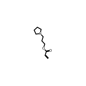 C=CC(=O)OCCCN1CCCC1